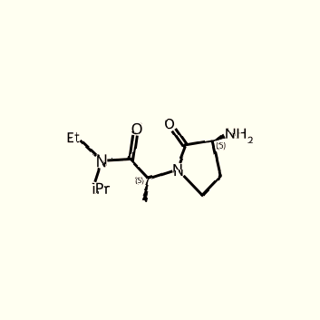 CCN(C(=O)[C@H](C)N1CC[C@H](N)C1=O)C(C)C